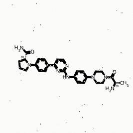 C[C@@H](N)C(=O)N1CCN(c2ccc(Nc3nccc(-c4ccc(N5CCC[C@@H]5C(N)=O)cc4)n3)cc2)CC1